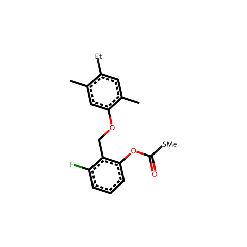 CCc1cc(C)c(OCc2c(F)cccc2OC(=O)SC)cc1C